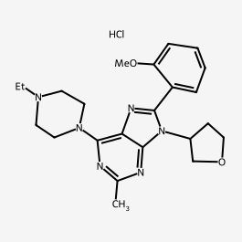 CCN1CCN(c2nc(C)nc3c2nc(-c2ccccc2OC)n3C2CCOC2)CC1.Cl